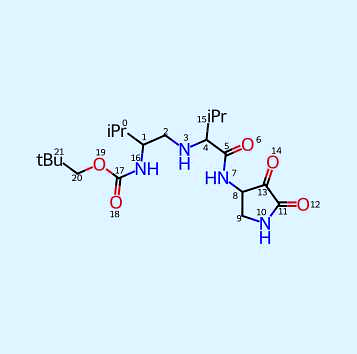 CC(C)C(CNC(C(=O)NC1CNC(=O)C1=O)C(C)C)NC(=O)OCC(C)(C)C